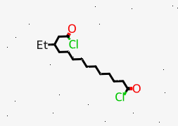 CCC(CCCCCCCCCCC(=O)Cl)CC(=O)Cl